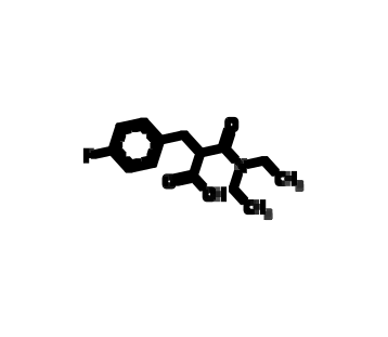 CCN(CC)C(=O)C(Cc1ccc(F)cc1)C(=O)O